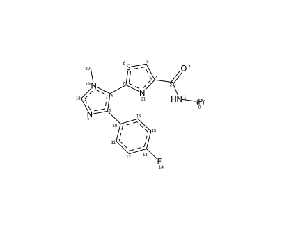 CC(C)NC(=O)c1csc(-c2c(-c3ccc(F)cc3)ncn2C)n1